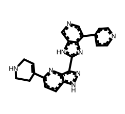 C1=C(c2ccc3[nH]nc(-c4nc5c(-c6ccncc6)cncc5[nH]4)c3n2)CCNC1